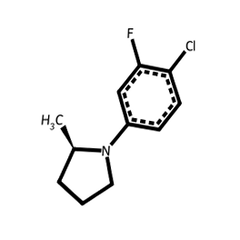 C[C@@H]1CCCN1c1ccc(Cl)c(F)c1